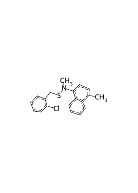 Cc1ccc(N(C)SCc2ccccc2Cl)c2ccccc12